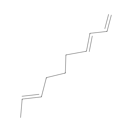 C=CC=CCCCC=CC